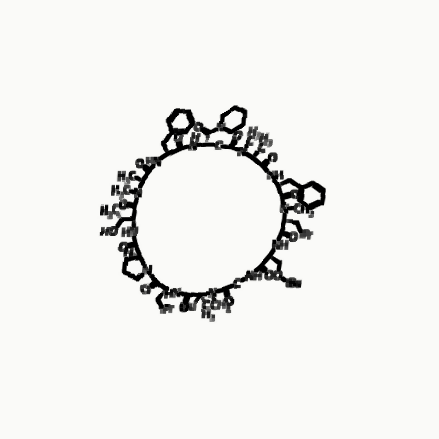 CC[C@H](C)[C@@]1(C)C(=O)N[C@@H](CC(C)C)C(=O)N2CCC[C@H]2C(=O)N[C@@H]([C@@H](C)O)C(=O)N(C)[C@@H](C)C(=O)N[C@@H](Cc2ccccc2)C(=O)N[C@H](C(=O)N2CCCCC2)CC(=O)N(C)[C@@H](C)C(=O)N[C@@H](Cc2ccccc2)C(=O)N(C)[C@@H](CC(C)C)C(=O)N[C@@H](COC(C)(C)C)C(=O)NCC(=O)N1C